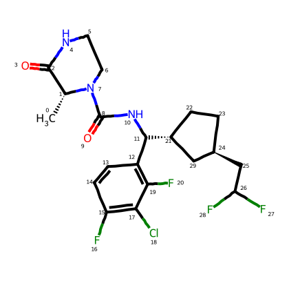 C[C@@H]1C(=O)NCCN1C(=O)NC(c1ccc(F)c(Cl)c1F)[C@@H]1CC[C@@H](CC(F)F)C1